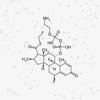 C[C@@H]1C[C@H]2[C@@H]3C[C@H](F)C4=CC(=O)C=C[C@]4(C)[C@@]3(F)[C@@H](OP(=O)(O)OP(=O)(O)OCCN)C[C@@]2(C)[C]1C(=O)SCF